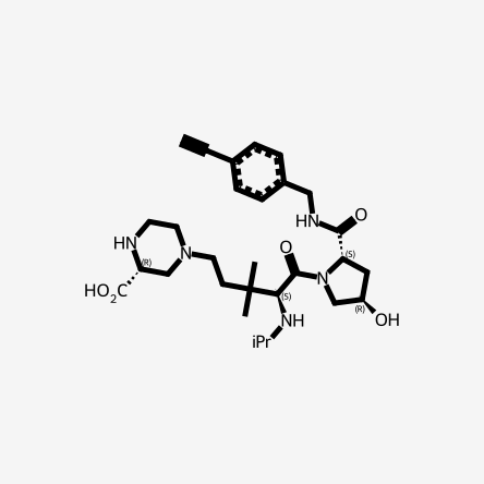 C#Cc1ccc(CNC(=O)[C@@H]2C[C@@H](O)CN2C(=O)[C@@H](NC(C)C)C(C)(C)CCN2CCN[C@@H](C(=O)O)C2)cc1